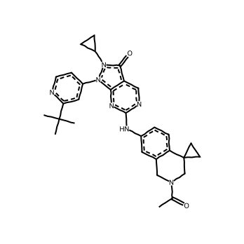 CC(=O)N1Cc2cc(Nc3ncc4c(=O)n(C5CC5)n(-c5ccnc(C(C)(C)C)c5)c4n3)ccc2C2(CC2)C1